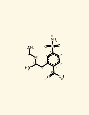 CCNC(C)Cc1cc(S(N)(=O)=O)ccc1C(=O)O